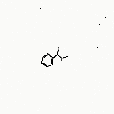 NNC(F)c1ccccc1